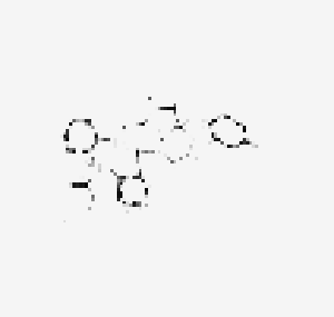 CCN(CCN(C)C(=O)C1(Oc2ccc(C(F)(F)F)cc2)CCCN(C(=O)c2cnccc2C(F)(F)F)C1)c1ccccc1NC(=O)CSC